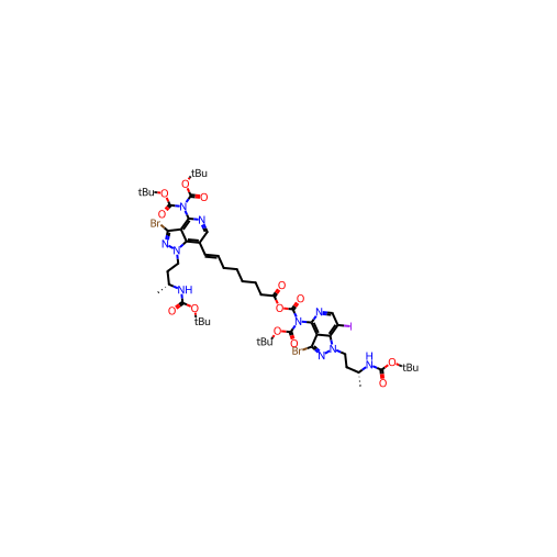 C[C@H](CCn1nc(Br)c2c(N(C(=O)OC(=O)CCCCC/C=C/c3cnc(N(C(=O)OC(C)(C)C)C(=O)OC(C)(C)C)c4c(Br)nn(CC[C@@H](C)NC(=O)OC(C)(C)C)c34)C(=O)OC(C)(C)C)ncc(I)c21)NC(=O)OC(C)(C)C